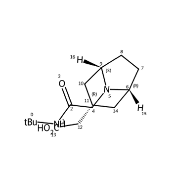 CC(C)(C)NC(=O)CN1[C@@H]2CC[C@H]1C[C@@H](CC(=O)O)C2